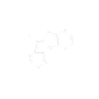 CC(C)N1c2nccnc2N2c3ccccc3CC21